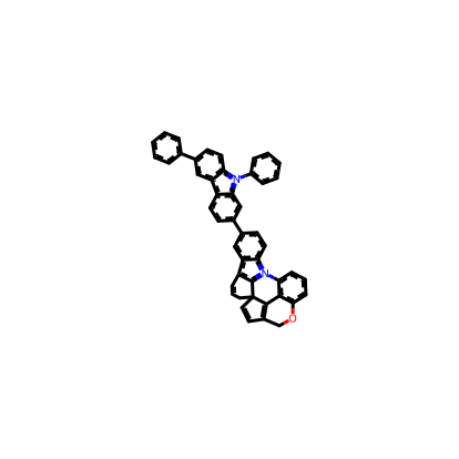 C1=Cc2c3n(c4ccc(-c5ccc6c7cc(-c8ccccc8)ccc7n(-c7ccccc7)c6c5)cc24)-c2cccc4c2C2=C(C=CC23C1)CO4